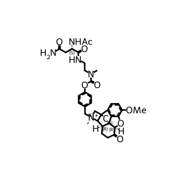 COc1ccc2c3c1O[C@H]1C(=O)CC[C@H]4C5C2(C[C@]314)C[N@+]5(C)Cc1ccc(OC(=O)N(C)CCNC(=O)[C@H](CC(N)=O)NC(C)=O)cc1